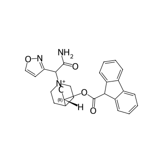 NC(=O)C(c1ccon1)[N+]12CCC(CC1)[C@@H](OC(=O)C1c3ccccc3-c3ccccc31)C2